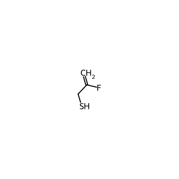 C=C(F)CS